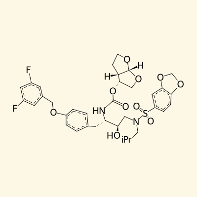 CC(C)CN(C[C@@H](O)[C@H](Cc1ccc(OCc2cc(F)cc(F)c2)cc1)NC(=O)O[C@H]1CO[C@H]2OCC[C@H]21)S(=O)(=O)c1ccc2c(c1)OCO2